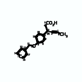 CC#C[C@H](CC(=O)O)c1ccc(OCc2ccccc2)cc1